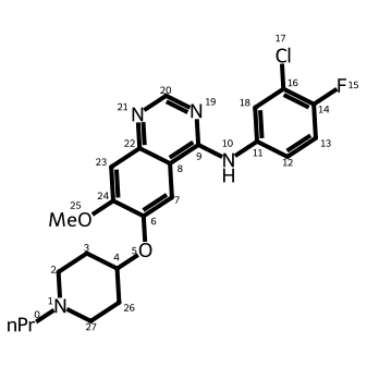 CCCN1CCC(Oc2cc3c(Nc4ccc(F)c(Cl)c4)ncnc3cc2OC)CC1